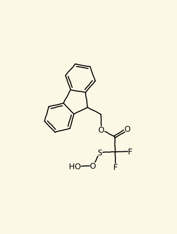 O=C(OCC1c2ccccc2-c2ccccc21)C(F)(F)SOO